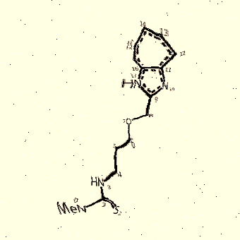 CNC(=S)NCCCOCc1nc2ccccc2[nH]1